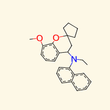 CCN(c1cccc2ccccc12)C1CC2(CCCC2)Oc2c(OC)cccc21